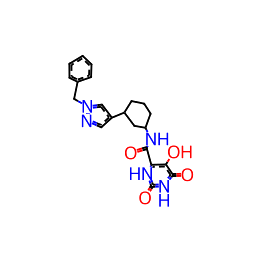 O=C(NC1CCCC(c2cnn(Cc3ccccc3)c2)C1)c1[nH]c(=O)[nH]c(=O)c1O